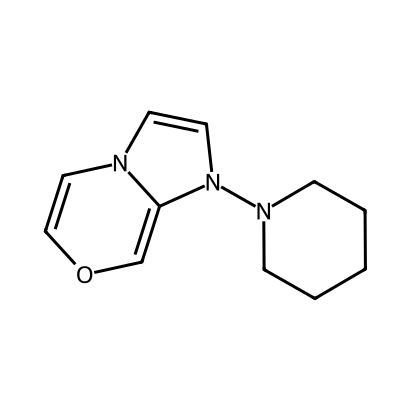 C1=CN2C=CN(N3CCCCC3)C2=CO1